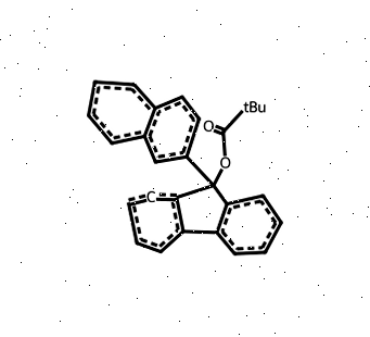 CC(C)(C)C(=O)OC1(c2ccc3ccccc3c2)c2ccccc2-c2ccccc21